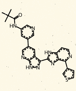 CC(C)(C)C(=O)Nc1cncc(-c2cnc3[nH]nc(-c4nc5c(-c6ccsc6)nccc5[nH]4)c3c2)c1